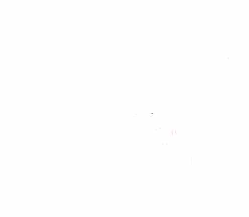 CCCCC/C=C\C/C=C\CCCCCCCC(=O)O[C@H](COC(=O)CCCCCCCCCCCCCCCCCC)COP(=O)(O)OC[C@@H](O)CO